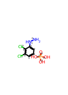 NNc1cccc(Cl)c1Cl.O=P(O)(O)O